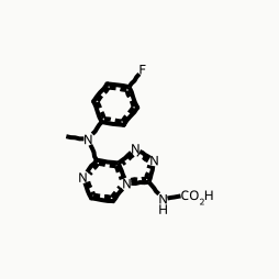 CN(c1ccc(F)cc1)c1nccn2c(NC(=O)O)nnc12